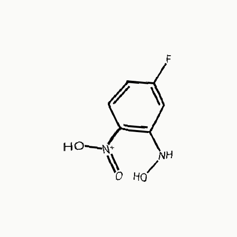 O=[N+](O)c1ccc(F)cc1NO